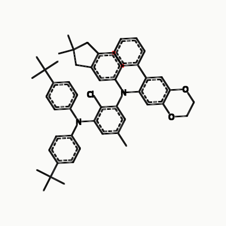 Cc1cc(N(c2ccc(C(C)(C)C)cc2)c2ccc(C(C)(C)C)cc2)c(Cl)c(N(c2ccc3c(c2)CC(C)(C)C3)c2cc3c(cc2-c2ccccc2)OCCO3)c1